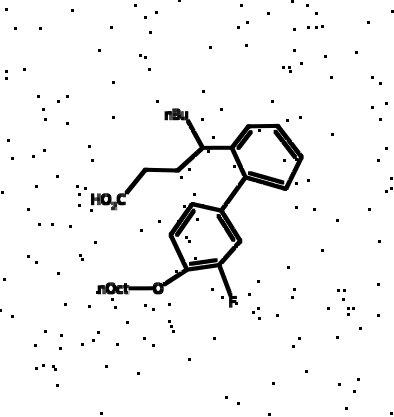 CCCCCCCCOc1ccc(-c2ccccc2C(CCCC)CCC(=O)O)cc1F